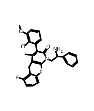 COc1cccc(-c2c(C)c(Cc3c(F)cccc3F)c(C)n(CC(N)c3ccccc3)c2=O)c1Cl